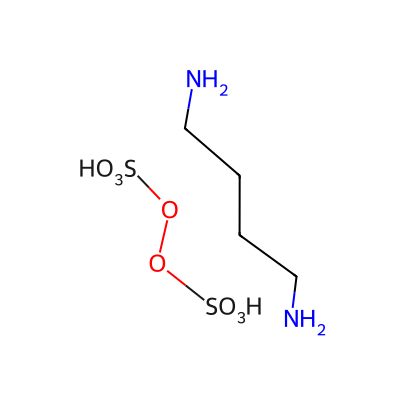 NCCCCN.O=S(=O)(O)OOS(=O)(=O)O